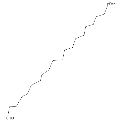 CCCCCCCCCCCCCCCCCCCCCCCCCCCC[C]=O